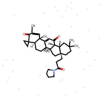 CC1(C)CC[C@]2(CCC(=O)N3CCCC3)CC[C@]3(C)[C@H](C(=O)C=C4[C@@]5(C)C=C(C#N)C(=O)C6(CC6)[C@@H]5CC[C@]43C)[C@@H]2C1